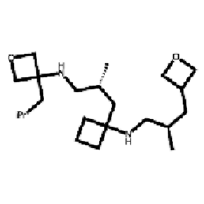 CC(C)CC1(NC[C@H](C)CC2(NC[C@H](C)CC3COC3)CCC2)COC1